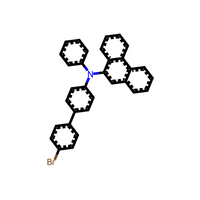 Brc1ccc(-c2ccc(N(c3ccccc3)c3cc4ccccc4c4ccccc34)cc2)cc1